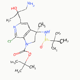 CC(C)(C)OC(=O)N1C[C@](C)(N[S+]([O-])C(C)(C)C)c2cc(C(C)(O)CN)nc(Cl)c21